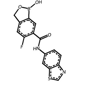 O=C(Nc1ccc2ncsc2c1)c1cc2c(cc1F)COB2O